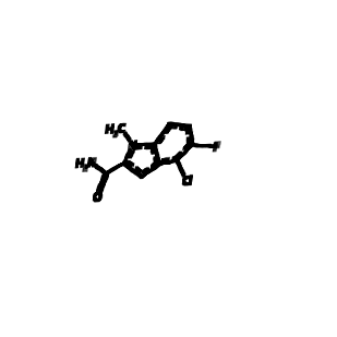 Cn1c(C(N)=O)cc2c(Cl)c(F)ccc21